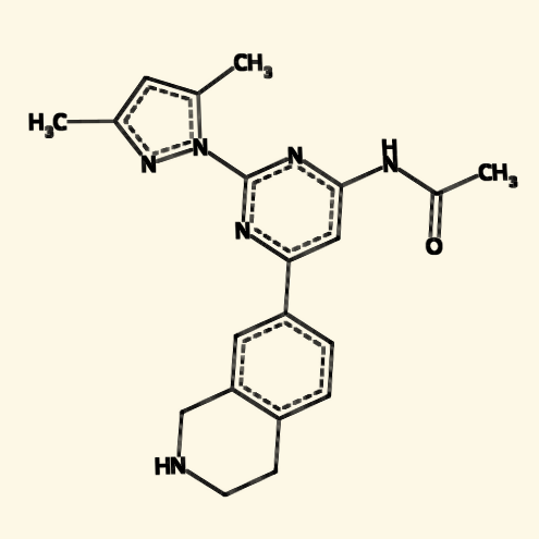 CC(=O)Nc1cc(-c2ccc3c(c2)CNCC3)nc(-n2nc(C)cc2C)n1